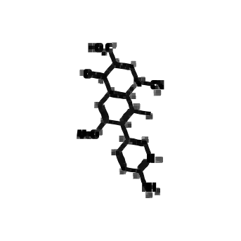 COc1cc2c(=O)c(C(=O)O)cn(C#N)c2c(C)c1-c1ccc(N)nc1